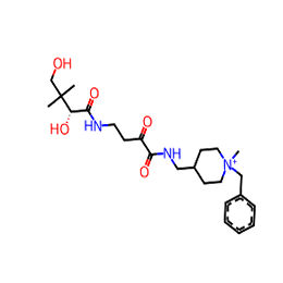 CC(C)(CO)[C@@H](O)C(=O)NCCC(=O)C(=O)NCC1CC[N+](C)(Cc2ccccc2)CC1